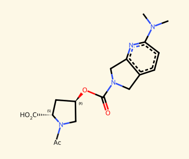 CC(=O)N1C[C@H](OC(=O)N2Cc3ccc(N(C)C)nc3C2)C[C@H]1C(=O)O